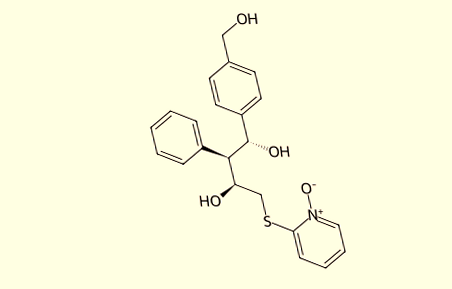 [O-][n+]1ccccc1SC[C@@H](O)[C@@H](c1ccccc1)[C@@H](O)c1ccc(CO)cc1